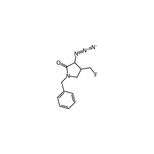 [N-]=[N+]=NC1C(=O)N(Cc2ccccc2)CC1CF